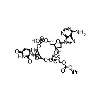 CC(C)OC(=O)OCSP1(=O)OCC2O[C@@H](n3ccc(=O)[nH]c3=O)[C@H](OP(=O)(O)OCC3O[C@@H](n4cnc5c(N)ncnc54)C[C@@H]3O1)[C@@H]2F